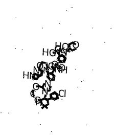 CC1(C)CC(c2ccc(Cl)cc2)=C2CN3CCN(c4ccc(C(=O)NS(=O)(=O)c5ccc(NCC6(O)CCOCC6)c([NH+]([O-])O)c5)c(N5CCCOc6nc7[nH]ccc7cc65)c4)CC3COCCCO[C@@H]2C1